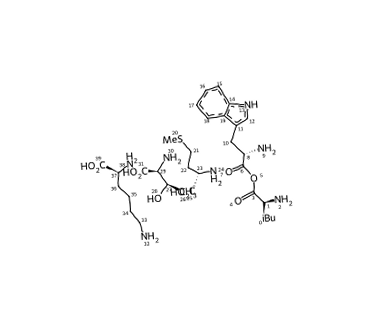 CC[C@H](C)[C@H](N)C(=O)OC(=O)[C@@H](N)Cc1c[nH]c2ccccc12.CSCC[C@H](N)C(=O)O.C[C@@H](O)[C@H](N)C(=O)O.NCCCC[C@H](N)C(=O)O